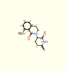 C=C1CCC(N2CCc3cccc(C(C)(C)C)c3C2=O)C(=O)N1